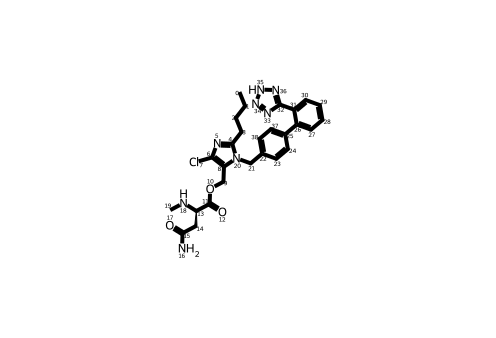 CCCCc1nc(Cl)c(COC(=O)[C@@H](CC(N)=O)NC)n1Cc1ccc(-c2ccccc2-c2nn[nH]n2)cc1